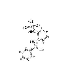 CCS(=O)(=O)Nc1cccnc1NC(=O)c1ccccc1